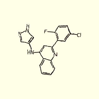 Fc1ccc(Cl)cc1-c1cc(Nc2cn[nH]c2)c2ccccc2n1